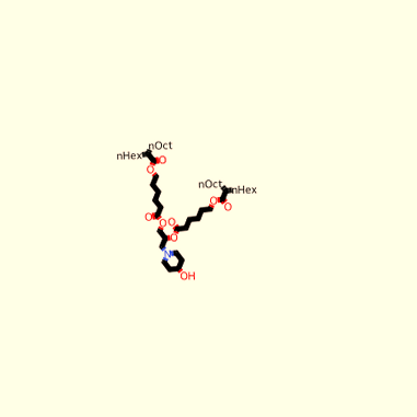 CCCCCCCCC(CCCCCC)C(=O)OCCCCCC(=O)OCC(CN1CCC(O)CC1)OC(=O)CCCCCOC(=O)C(CCCCCC)CCCCCCCC